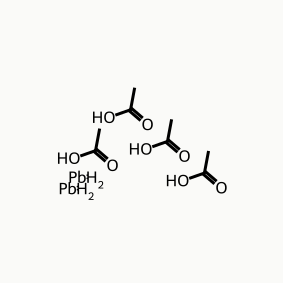 CC(=O)O.CC(=O)O.CC(=O)O.CC(=O)O.[PbH2].[PbH2]